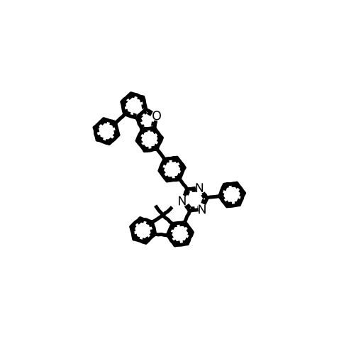 CC1(C)c2ccccc2-c2cccc(-c3nc(-c4ccccc4)nc(-c4ccc(-c5ccc6c(c5)oc5cccc(-c7ccccc7)c56)cc4)n3)c21